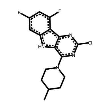 CC1CCN(c2nc(Cl)nc3c2[nH]c2cc(F)cc(F)c23)CC1